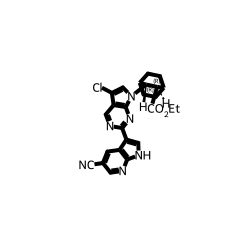 CCOC(=O)[C@@H]1C2CCC(CC2)[C@H]1n1cc(Cl)c2cnc(-c3c[nH]c4ncc(C#N)cc34)nc21